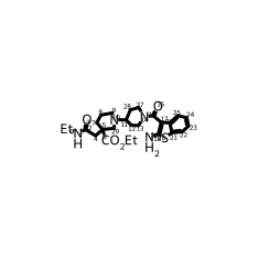 CCNC(=O)CC1(C(=O)OCC)CCCN(C2CCN(C(=O)c3c(N)sc4ccccc34)CC2)C1